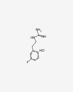 Cl.N=C(N)NCCc1cccc(F)c1